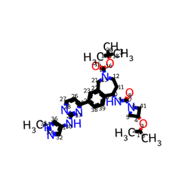 CC(C)OC1CN(C(=O)NC2CCN(C(=O)OC(C)(C)C)Cc3cc(-c4ccnc(Nc5cnn(C)c5)n4)ccc32)C1